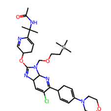 CC(=O)NC(C)(C)C1=CCC(OC2=NC3C=C(Cl)C(C4C=CC(N5CCOCC5)=CC4)=NC3N2COCC[Si](C)(C)C)C=N1